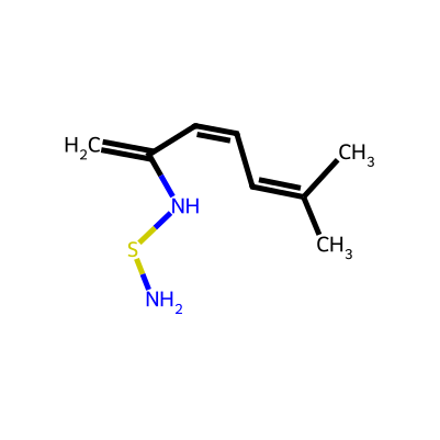 C=C(/C=C\C=C(C)C)NSN